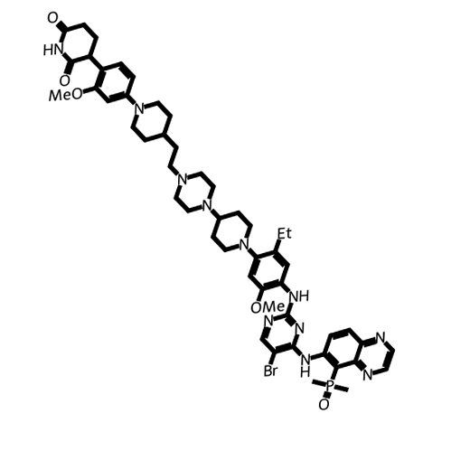 CCc1cc(Nc2ncc(Br)c(Nc3ccc4nccnc4c3P(C)(C)=O)n2)c(OC)cc1N1CCC(N2CCN(CCC3CCN(c4ccc(C5CCC(=O)NC5=O)c(OC)c4)CC3)CC2)CC1